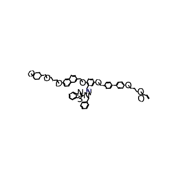 C=CC(=O)OCCCOc1ccc(-c2ccc(COc3ccc(OCc4ccc5cc(OCCCOCC6CCC7OC7C6)ccc5c4)c(/C=N/N(Cc4ccccc4)c4nc5ccccc5s4)c3)cc2)cc1